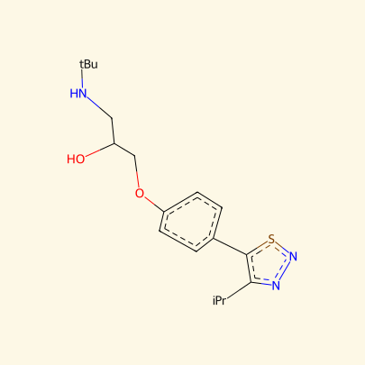 CC(C)c1nnsc1-c1ccc(OCC(O)CNC(C)(C)C)cc1